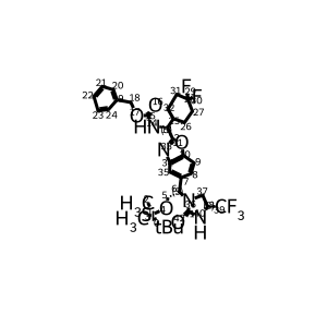 CC(C)(C)[Si](C)(C)OC[C@H](c1ccc2oc([C@@H](NC(=O)OCc3ccccc3)C3CCC(F)(F)CC3)nc2c1)N1C[C@@H](C(F)(F)F)NC1=O